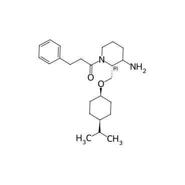 CC(C)[C@H]1CC[C@@H](OC[C@H]2C(N)CCCN2C(=O)CCc2ccccc2)CC1